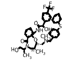 CC(CO)N1C[C@@H](C)[C@@H](CN(C)Cc2ccc(Sc3ccccc3)cc2)Oc2c(NC(=O)C(O)c3ccc(C(F)(F)F)cc3)cccc2C1=O